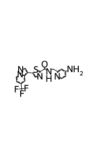 Nc1ccnc(CNC(=O)c2ncc(-c3cnn4ccc(C(F)(F)F)cc34)s2)c1